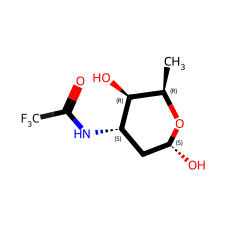 C[C@H]1O[C@H](O)C[C@H](NC(=O)C(F)(F)F)[C@H]1O